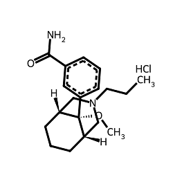 CCCN1C[C@H]2CCC[C@@H](C1)[C@]2(OC)c1cccc(C(N)=O)c1.Cl